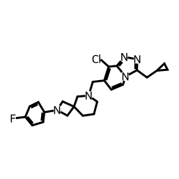 Fc1ccc(N2CC3(CCCN(Cc4ccn5c(CC6CC6)nnc5c4Cl)C3)C2)cc1